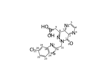 O=c1c2nccnc2c(CB(O)O)nn1Cc1nc2cc(Cl)ccc2s1